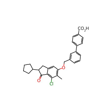 Cc1c(OCc2cccc(-c3ccc(C(=O)O)cc3)c2)cc2c(c1Cl)C(=O)C(C1CCCC1)C2